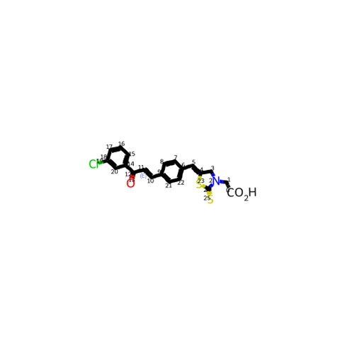 O=C(O)CN1CC(=Cc2ccc(/C=C/C(=O)c3cccc(Cl)c3)cc2)SC1=S